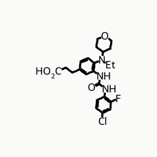 CCN(c1ccc(CCC(=O)O)cc1NC(=O)Nc1ccc(Cl)cc1F)C1CCOCC1